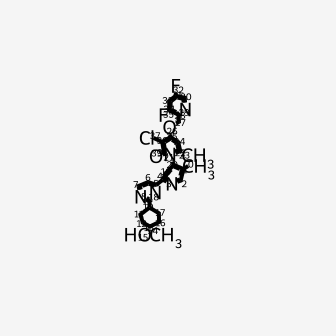 Cc1cnc(-c2ccnc(C3CCC(C)(O)CC3)n2)cc1-n1c(C)cc(OCc2ncc(F)cc2F)c(Cl)c1=O